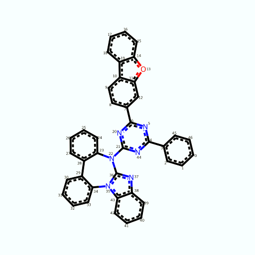 c1ccc(-c2nc(-c3ccc4c(c3)oc3ccccc34)nc(N3c4ccccc4-c4ccccc4-n4c3nc3ccccc34)n2)cc1